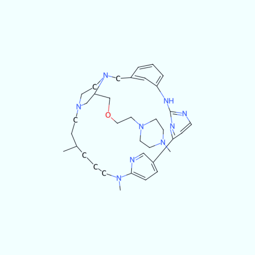 CC1CCCN(C)c2ccc(cn2)-c2ccnc(n2)Nc2cccc(c2)CN2CCN(CC1)CC2COCCN1CCN(C)CC1